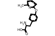 Cc1cccc(Oc2ccc(C[C@H](N)C(=O)O)cc2)n1